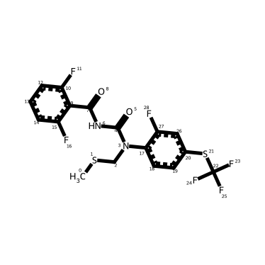 CSCN(C(=O)NC(=O)c1c(F)cccc1F)c1ccc(SC(F)(F)F)cc1F